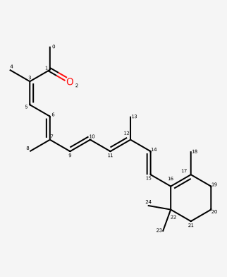 CC(=O)C(C)=CC=C(C)C=CC=C(C)C=CC1=C(C)CCCC1(C)C